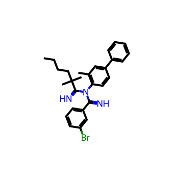 CCCCC(C)(C)C(=N)N(C(=N)c1cccc(Br)c1)c1ccc(-c2ccccc2)cc1C